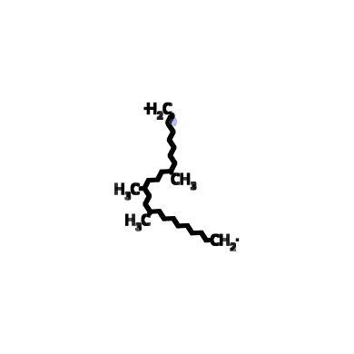 [CH2]/C=C/CCCCCC(C)CCCC(C)CCC(C)CCCCCCCC[CH2]